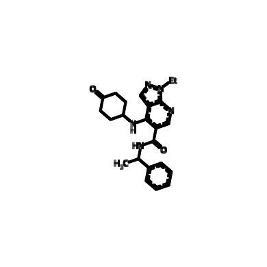 CCn1ncc2c(NC3CCC(=O)CC3)c(C(=O)NC(C)c3ccccc3)cnc21